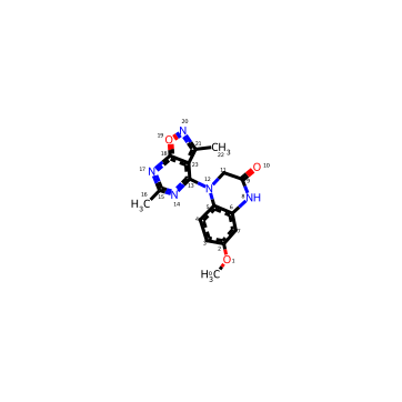 COc1ccc2c(c1)NC(=O)CN2c1nc(C)nc2onc(C)c12